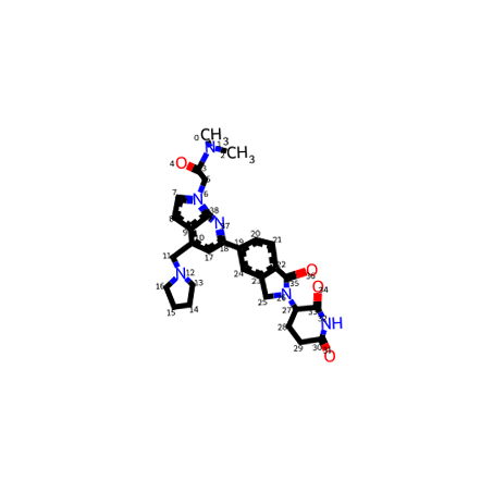 CN(C)C(=O)Cn1ccc2c(CN3CCCC3)cc(-c3ccc4c(c3)CN(C3CCC(=O)NC3=O)C4=O)nc21